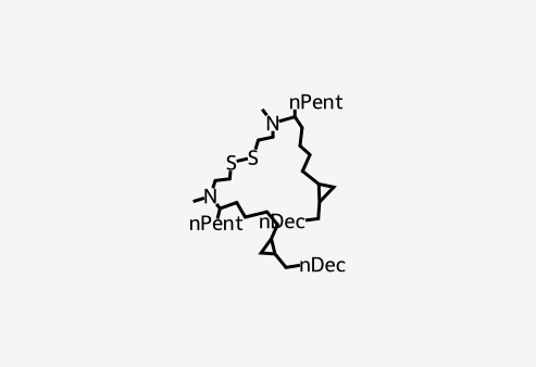 CCCCCCCCCCCC1CC1CCCCC(CCCCC)N(C)CCSSCCN(C)C(CCCCC)CCCCC1CC1CCCCCCCCCCC